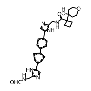 O=CNCc1ncc(-c2ccc(-c3ccc(-c4cnc(CNC(=O)C5(C6(O)CCOCC6)CCC5)[nH]4)cc3)cc2)[nH]1